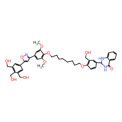 COc1cc(-c2cc(-c3cc(CO)c(CO)c(CO)c3)on2)cc(OC)c1OCCCCCCCCOc1ccc(C2NC(=O)c3ccccc3N2)cc1CO